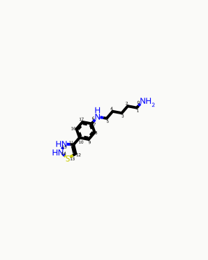 NCCCCCNc1ccc(C2=CSNN2)cc1